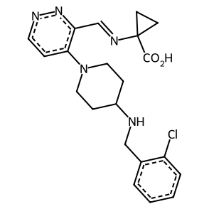 O=C(O)C1(N=Cc2nnccc2N2CCC(NCc3ccccc3Cl)CC2)CC1